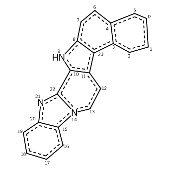 c1ccc2c(c1)ccc1[nH]c3c(ccn4c5ccccc5nc34)c12